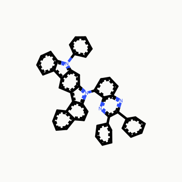 c1ccc(-c2nc3cccc(-n4c5cc6c(cc5c5c7ccccc7ccc54)c4ccccc4n6-c4ccccc4)c3nc2-c2ccccc2)cc1